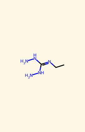 CCN=C(NN)NN